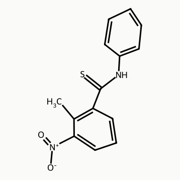 Cc1c(C(=S)Nc2ccccc2)cccc1[N+](=O)[O-]